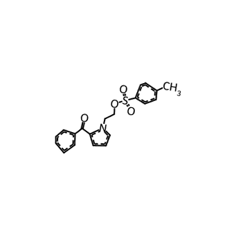 Cc1ccc(S(=O)(=O)OCCn2cccc2C(=O)c2ccccc2)cc1